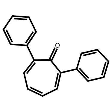 O=c1c(-c2ccccc2)ccccc1-c1ccccc1